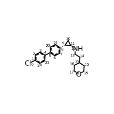 Clc1ccc(-c2ccc([C@@H]3C[C@H]3NCCC3CCOCC3)cc2)cc1